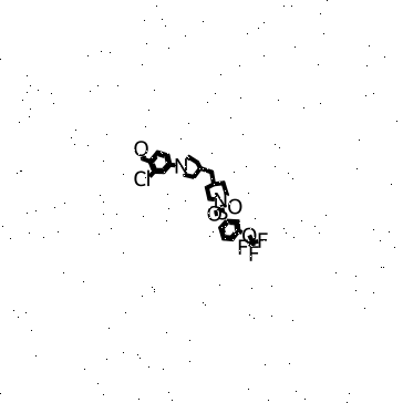 O=Cc1ccc(N2CCC(CC3CCN(S(=O)(=O)c4cccc(OC(F)(F)F)c4)CC3)CC2)cc1Cl